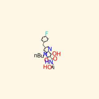 CCCCn1c(=O)c(C(=O)NC[C@@H](C)O)c(O)c2ncc(Cc3ccc(F)cc3)cc21